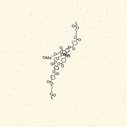 C=CC(=O)OCCCCOC(=O)C1CCC(C(=O)Oc2ccc(OC(=O)C3CCC(C(=O)Oc4ccc(OC(=O)C5CCC(C(=O)OCCCCOC(=O)C=C)CC5)cc4C(=O)OCCOCCOC)CC3)c(C(=O)OCCOCCOC)c2)CC1